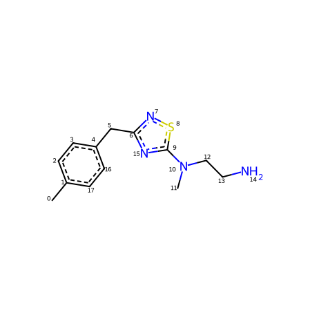 Cc1ccc(Cc2nsc(N(C)CCN)n2)cc1